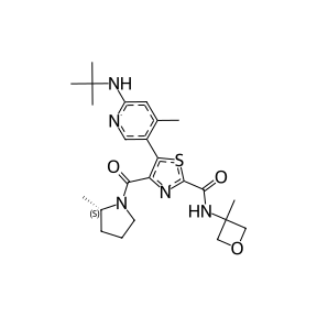 Cc1cc(NC(C)(C)C)ncc1-c1sc(C(=O)NC2(C)COC2)nc1C(=O)N1CCC[C@@H]1C